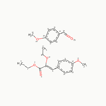 CCOC(=O)C(=Cc1ccc(OC)cc1)OCC.COc1ccc(C=O)cc1